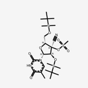 Cc1cn([C@@H]2O[C@H](CO[Si](C)(C)C(C)(C)C)[C@@](C#N)(OS(C)(=O)=O)[C@H]2O[Si](C)(C)C(C)(C)C)c(=O)[nH]c1=O